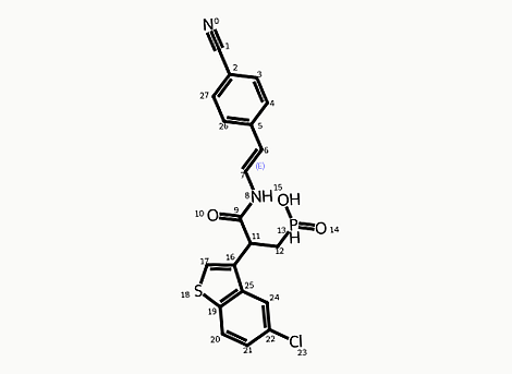 N#Cc1ccc(/C=C/NC(=O)C(C[PH](=O)O)c2csc3ccc(Cl)cc23)cc1